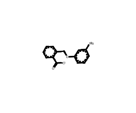 CC(C)(C)c1cccc(OCc2ccccc2C(=O)Cl)c1